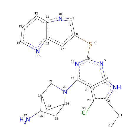 CCc1[nH]c2nc(Sc3cnc4cccnc4c3)nc(N3CC4CC3CC4N)c2c1Cl